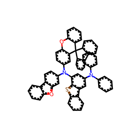 c1ccc(N(c2ccccc2)c2cc(N(c3ccc4c(c3)C3(c5ccccc5O4)c4ccccc4-c4ccccc43)c3ccc4c(c3)oc3ccccc34)c3sc4ccccc4c3c2)cc1